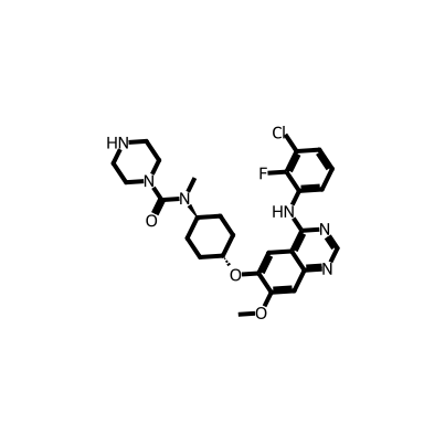 COc1cc2ncnc(Nc3cccc(Cl)c3F)c2cc1O[C@H]1CC[C@H](N(C)C(=O)N2CCNCC2)CC1